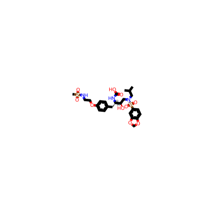 CC(C)CN(C[C@@H](O)[C@H](Cc1ccc(OCCNS(C)(=O)=O)cc1)NC(=O)O)S(=O)(=O)c1ccc2c(c1)OCO2